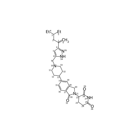 C=C(CC(CC)CC)c1cc(CN2CCC(c3ccc4c(c3)CN(C3CCC(=O)NC3=O)C4=O)CC2)[nH]n1